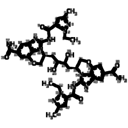 CCn1nc(C)cc1C(=O)Nc1nc2cc(C(N)=O)cc3c2n1[C@@H](CC(O)C(O)C[C@H]1COc2cc(C(N)=O)cc4nc(NC(=O)c5cc(C)nn5CC)n1c24)CO3